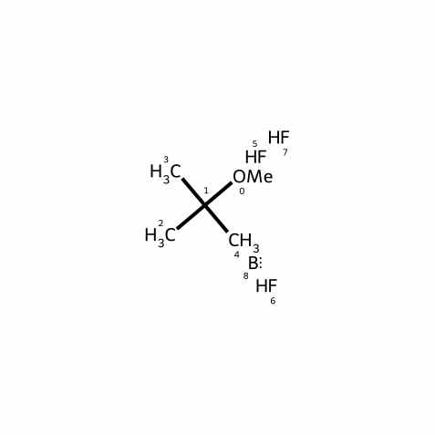 COC(C)(C)C.F.F.F.[B]